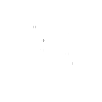 CC(C)(c1ccccc1O)c1ccccc1O.OCCOCCO